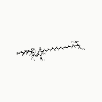 C#C[C@H](NC(C)CCCCCCCCCCCCCCCOC(CO)COC(C)C)C(=O)OC(C)CC(C)(C)NCCC(=O)OC(C)C